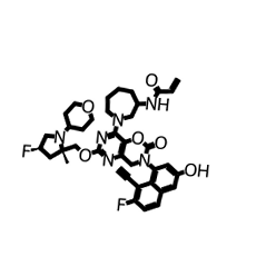 C#Cc1c(F)ccc2cc(O)cc(N3Cc4nc(OC[C@]5(C)C[C@@H](F)CN5C5CCOCC5)nc(N5CCCCC(NC(=O)C=C)C5)c4OC3=O)c12